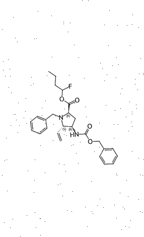 C=C[C@H]1[C@H](NC(=O)OCc2ccccc2)C[C@H](C(=O)OC(F)CCC)N1Cc1ccccc1